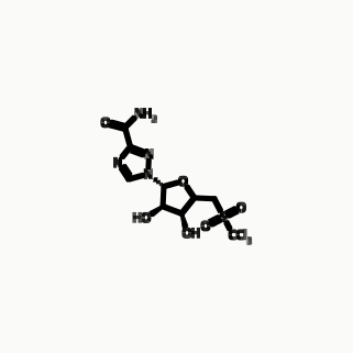 NC(=O)c1ncn([C@@H]2OC(CS(=O)(=O)C(Cl)(Cl)Cl)[C@@H](O)[C@H]2O)n1